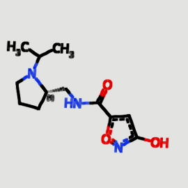 CC(C)N1CCC[C@H]1CNC(=O)c1cc(O)no1